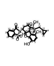 Cc1ccc(O)c2c1[C@]13CCN(CC4CC4)[C@H](C)[C@]1(O)CC[C@@H](N1C(=O)c4ccccc4S1(=O)=O)[C@@H]3O2